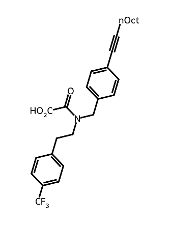 CCCCCCCCC#Cc1ccc(CN(CCc2ccc(C(F)(F)F)cc2)C(=O)C(=O)O)cc1